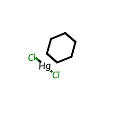 C1CCCCC1.[Cl][Hg][Cl]